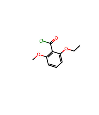 CCOc1cccc(OC)c1C(=O)Cl